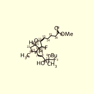 CCCCC(C)(F)[C@H](O)C=C[C@@H]1[C@H]2C(F)C(=CCCCC(=O)OC)O[C@H]2C[C@H]1C